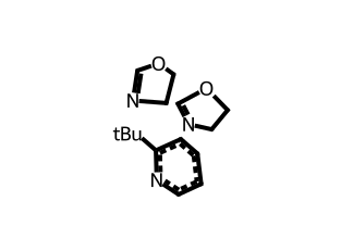 C1=NCCO1.C1=NCCO1.CC(C)(C)c1ccccn1